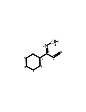 C=CC(=NO)C1CCCCC1